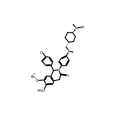 CC[C@@H](C)Oc1cc2c(cc1OC)CC(=O)N(c1ccc(N(C)C[C@H]3CC[C@H](N(C)C(C)C)CC3)cc1)C2c1ccc(Cl)cc1